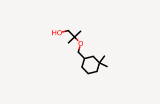 CC1(C)CCCC(COC(C)(C)CO)C1